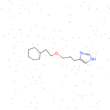 c1nc(CCCOCCC2CCCCC2)c[nH]1